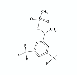 CC(OS(C)(=O)=O)c1cc(C(F)(F)F)cc(C(F)(F)F)c1